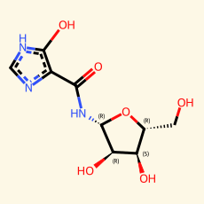 O=C(N[C@@H]1O[C@H](CO)[C@@H](O)[C@H]1O)c1nc[nH]c1O